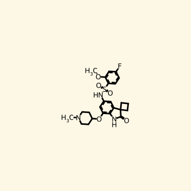 COc1cc(F)ccc1S(=O)(=O)Nc1cc(OC2CCN(C)CC2)c2c(c1)C1(CCC1)C(=O)N2